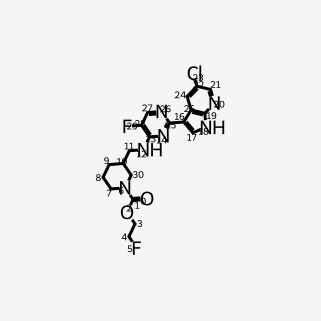 O=C(OCCF)N1CCCC(CNc2nc(-c3c[nH]c4ncc(Cl)cc34)ncc2F)C1